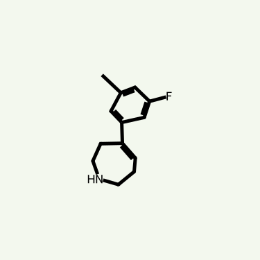 Cc1cc(F)cc(C2=CCCNCC2)c1